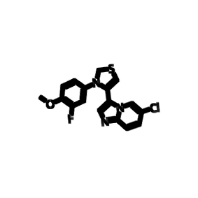 COc1ccc(N2CSC=C2c2cnc3ccc(Cl)cn23)cc1F